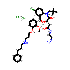 COc1c(OCCCNCCCc2ccccc2)cccc1[C@H]1O[C@H](CC(=O)NCCN)C(=O)N(CC(C)(C)C)c2ccc(Cl)cc21.Cl.Cl